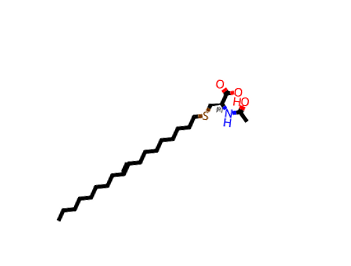 CCCCCCCCC=CCCCCCCCCSC[C@H](NC(C)=O)C(=O)O